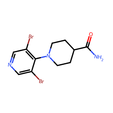 NC(=O)C1CCN(c2c(Br)cncc2Br)CC1